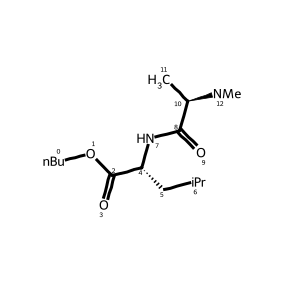 CCCCOC(=O)[C@@H](CC(C)C)NC(=O)[C@@H](C)NC